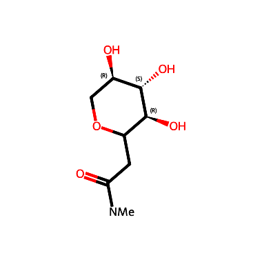 CNC(=O)CC1OC[C@@H](O)[C@H](O)[C@H]1O